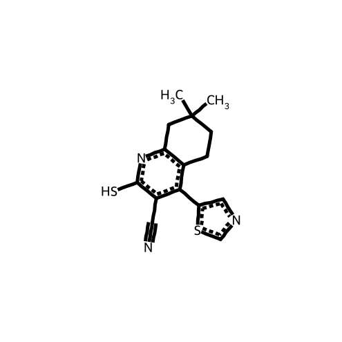 CC1(C)CCc2c(nc(S)c(C#N)c2-c2cncs2)C1